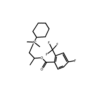 CC(C[N+](C)(C)C1CCCCC1)OC(=O)c1ccc(F)cc1C(F)(F)F